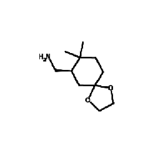 CC1(C)CCC2(C[C@H]1CN)OCCO2